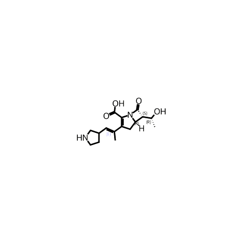 C/C(=C\C1CCNC1)C1=C(C(=O)O)N2C(=O)[C@H]([C@@H](C)O)[C@H]2C1